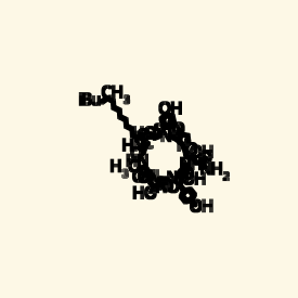 CCC(C)CC(C)CCCCCCCCC(=O)N[C@H]1C[C@@H](O)[C@@H](Sc2cccc(O)c2)NC(=O)[C@@H]2[C@@H](O)CCN2C(=O)[C@H]([C@H](O)CC(N)=O)NC(=O)[C@H]([C@H](O)[C@@H](O)c2ccc(O)cc2)NC(=O)[C@@H]2C[C@@H](O)CN2C(=O)[C@H]([C@@H](C)O)NC1=O